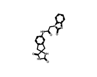 O=C(Cn1c(=O)sc2ccccc21)Nc1ccc2c(c1)CC1(C2)NC(=O)NC1=O